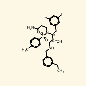 CCc1cccc(CNC[C@@H](O)[C@H](Cc2cc(F)cc(F)c2)N(CCC(N)=O)S(=O)(=O)c2ccc(C)cc2)c1